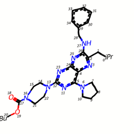 CC(C)Cc1nc2c(N3CCCC3)nc(N3CCN(C(=O)OC(C)(C)C)CC3)nc2nc1NCc1ccccc1